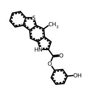 Cc1c2cc(C(=O)Oc3cccc(O)c3)[nH]c2cc2c1sc1ccccc12